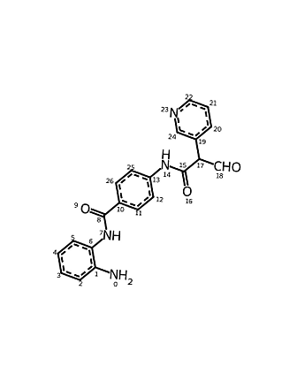 Nc1ccccc1NC(=O)c1ccc(NC(=O)C(C=O)c2cccnc2)cc1